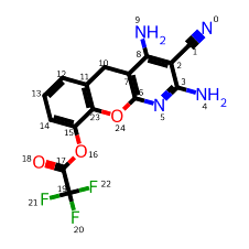 N#Cc1c(N)nc2c(c1N)Cc1cccc(OC(=O)C(F)(F)F)c1O2